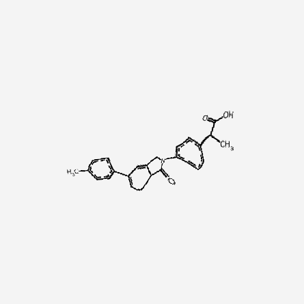 Cc1ccc(C2=CCC3C(=O)N(c4ccc(C(C)C(=O)O)cc4)CC3=C2)cc1